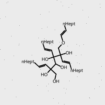 CCCCCCCC=COCC(O)(C=CCCCCCCC)C(O)(C=CCCCCCCC)C(O)C(O)(C=CCCCCCCC)CO